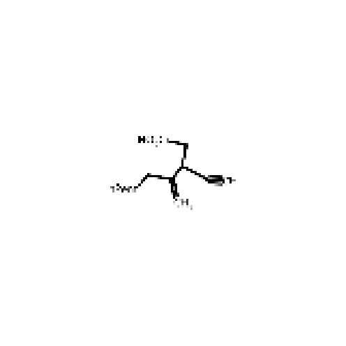 C#CC(CC(=O)O)C(=C)CCCCCC